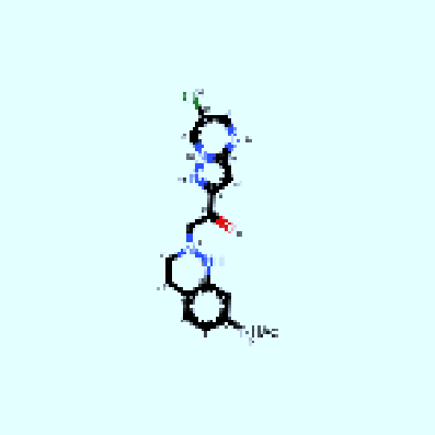 CC(=O)Nc1ccc2c(c1)NN(CC(=O)c1cc3ncc(Cl)cn3n1)CC2